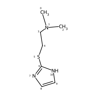 CN(C)CCSc1ncc[nH]1